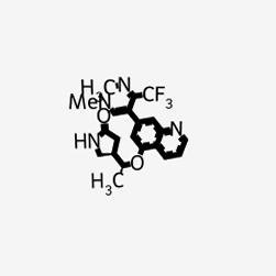 C/N=C(\C(=C/NC)c1cc(O[C@H](C)[C@H]2CNC(=O)C2)c2cccnc2c1)C(F)(F)F